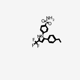 CCc1ccc(-c2cc(C(F)(F)F)nn2-c2ccc(S(N)(=O)=O)cc2)cc1